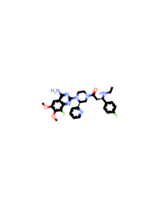 CCN[C@H](CC(=O)N1CCN(c2nc(N)c3cc(OC)c(OC)c(F)c3n2)[C@H](c2ccccn2)C1)c1ccc(F)cc1